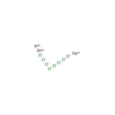 [Cl-].[Cl-].[Cl-].[Cl-].[Cl-].[Cl-].[Cl-].[Cl-].[Ga+3].[In+3].[Zn+2]